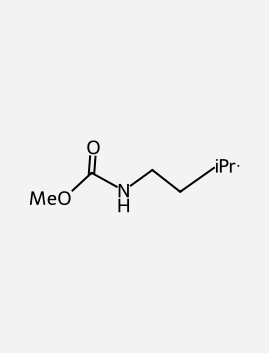 COC(=O)NCC[C](C)C